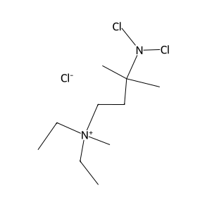 CC[N+](C)(CC)CCC(C)(C)N(Cl)Cl.[Cl-]